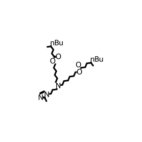 CCCCC(C)CCC(=O)OCCCCCCN(CCCCCCOC(=O)CCC(C)CCCC)CCCn1ccnc1C